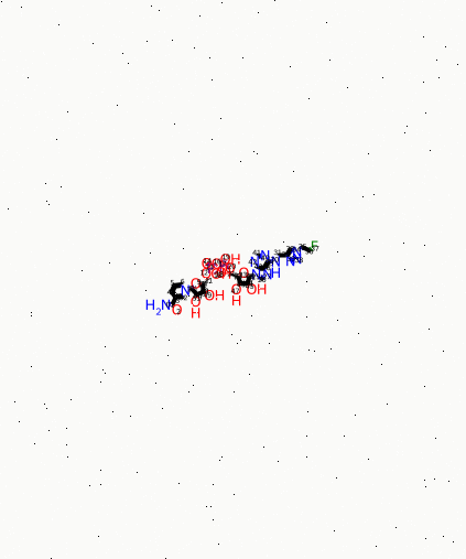 NC(=O)c1ccc[n+]([C@@H]2O[C@H](COP(=O)(O)OP(=O)(O)OC[C@H]3O[C@@H](n4cnc5c(NCc6cn(CCF)nn6)ncnc54)[C@H](O)[C@@H]3O)[C@@H](O)[C@H]2O)c1